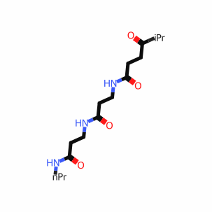 CCCNC(=O)CCNC(=O)CCNC(=O)CCC(=O)C(C)C